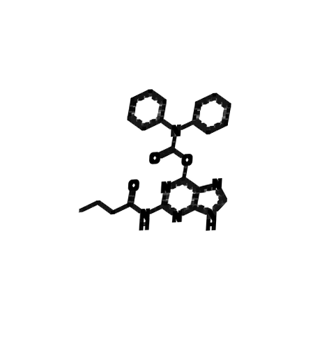 CCCC(=O)Nc1nc(OC(=O)N(c2ccccc2)c2ccccc2)c2nc[nH]c2n1